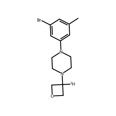 [2H]C1(N2CCN(c3cc(C)cc(Br)c3)CC2)COC1